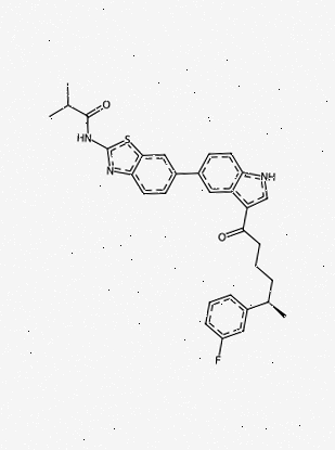 CC(C)C(=O)Nc1nc2ccc(-c3ccc4[nH]cc(C(=O)CCC[C@@H](C)c5cccc(F)c5)c4c3)cc2s1